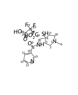 CN1CCC(S)([C@H](NC(=O)c2cccnc2)C(=O)O)CC1.O=C(O)C(F)(F)F